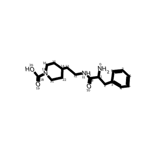 NC(Cc1ccccc1)C(=O)NCCC1CCN(C(=O)O)CC1